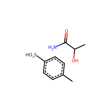 CC(O)C(N)=O.Cc1ccc(S(=O)(=O)O)cc1